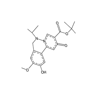 COc1cc2c(cc1O)-c1cc(=O)c(C(=O)OC(C)(C)C)cn1N(C(C)C)C2